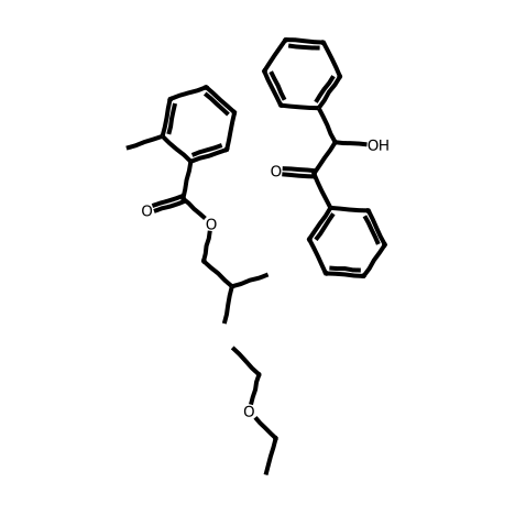 CCOCC.Cc1ccccc1C(=O)OCC(C)C.O=C(c1ccccc1)C(O)c1ccccc1